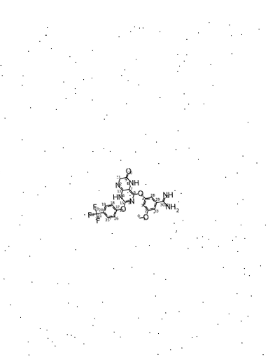 COc1cc(OC2=C3NC(=O)CN=C3NC(Oc3ccc(C(F)(F)F)cc3)=N2)cc(C(=N)N)c1